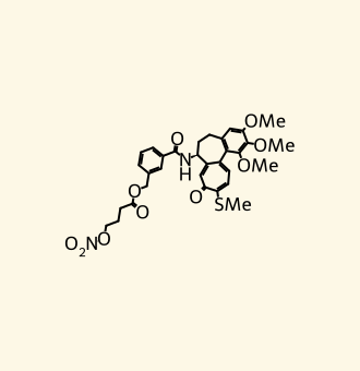 COc1cc2c(c(OC)c1OC)-c1ccc(SC)c(=O)cc1[C@@H](NC(=O)c1cccc(COC(=O)CCCO[N+](=O)[O-])c1)CC2